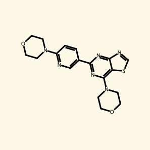 c1nc2nc(-c3ccc(N4CCOCC4)nc3)nc(N3CCOCC3)c2s1